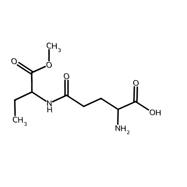 CCC(NC(=O)CCC(N)C(=O)O)C(=O)OC